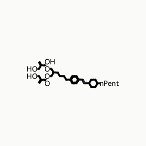 C=C(CO)C(=O)OCC(CCCCc1ccc(/C=C/C2CCC(CCCCC)CC2)cc1)COC(O)C(=C)CO